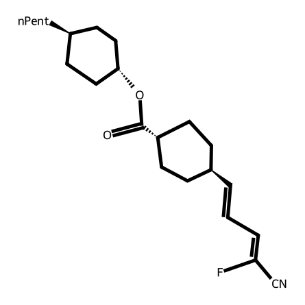 CCCCC[C@H]1CC[C@H](OC(=O)[C@H]2CC[C@H](C=CC=C(F)C#N)CC2)CC1